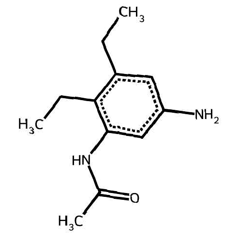 CCc1cc(N)cc(NC(C)=O)c1CC